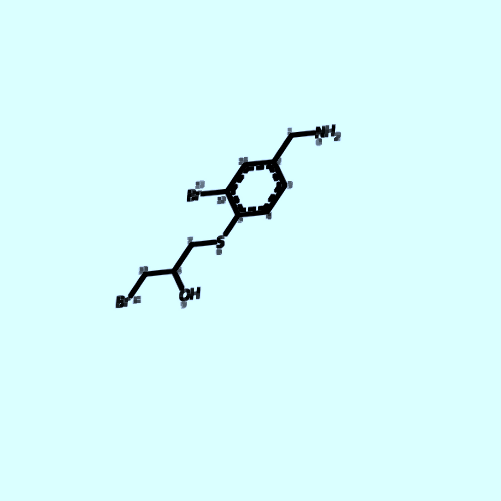 NCc1ccc(SCC(O)CBr)c(Br)c1